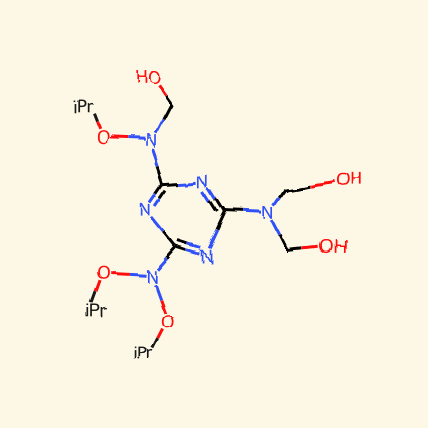 CC(C)ON(CO)c1nc(N(CO)CO)nc(N(OC(C)C)OC(C)C)n1